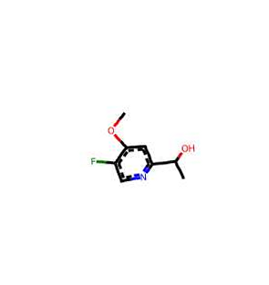 COc1cc(C(C)O)ncc1F